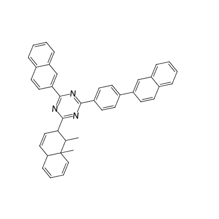 CC1C(c2nc(-c3ccc(-c4ccc5ccccc5c4)cc3)nc(-c3ccc4ccccc4c3)n2)C=CC2C=CC=CC21C